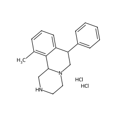 Cc1cccc2c1C1CNCCN1CC2c1ccccc1.Cl.Cl